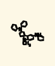 Cn1c2ccc(Nc3ccccc3)cc2c2cc(N(c3ccccc3)c3ccccc3)ccc21